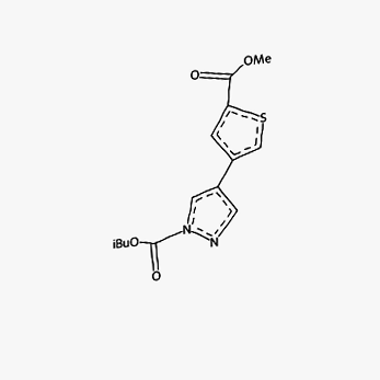 COC(=O)c1cc(-c2cnn(C(=O)OCC(C)C)c2)cs1